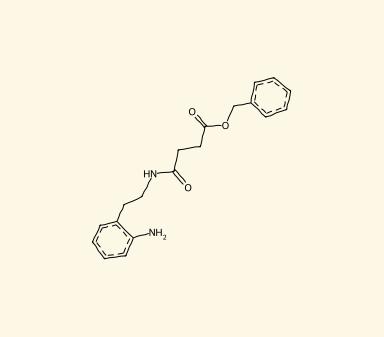 Nc1ccccc1CCNC(=O)CCC(=O)OCc1ccccc1